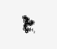 Nc1ccccc1NC(=O)c1ccc(CC(C(=O)Nc2cccc(C(F)(F)F)c2)C(=O)Nc2cccc(C(F)(F)F)c2)cc1